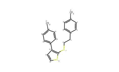 FC(F)(F)c1ccc(CCSc2sccc2-c2ccc(C(F)(F)F)cc2)cc1